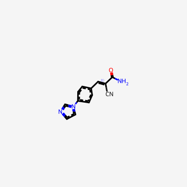 N#C/C(=C\c1ccc(-n2ccnc2)cc1)C(N)=O